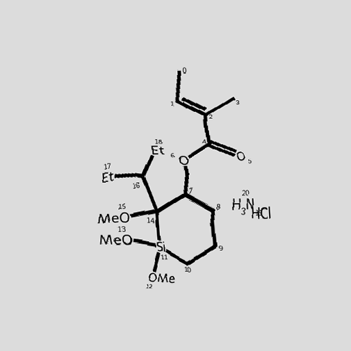 CC=C(C)C(=O)OC1CCC[Si](OC)(OC)C1(OC)C(CC)CC.Cl.N